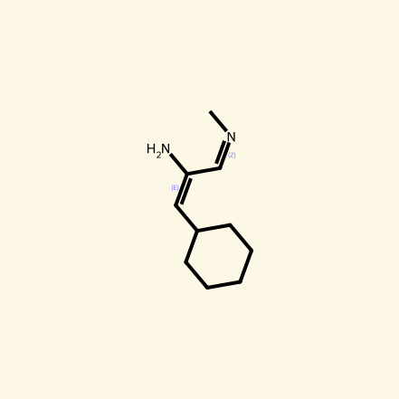 C/N=C\C(N)=C/C1CCCCC1